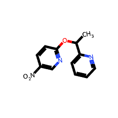 CC(Oc1ccc([N+](=O)[O-])cn1)c1ccccn1